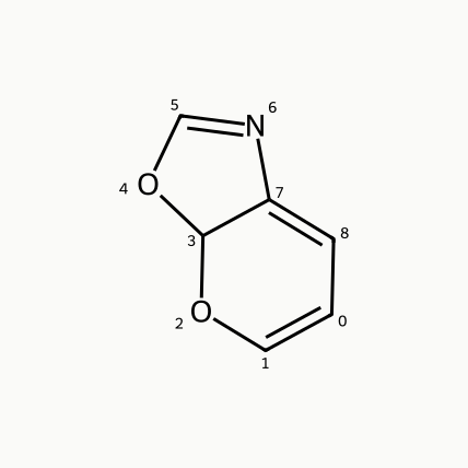 C1=COC2OC=NC2=C1